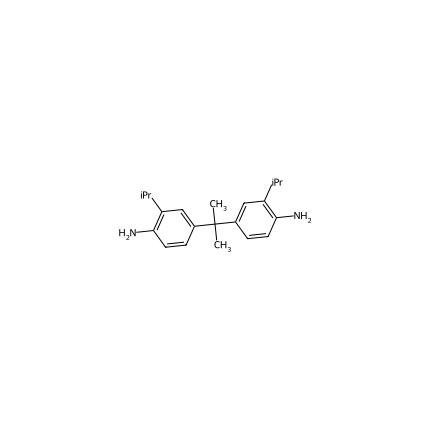 CC(C)c1cc(C(C)(C)c2ccc(N)c(C(C)C)c2)ccc1N